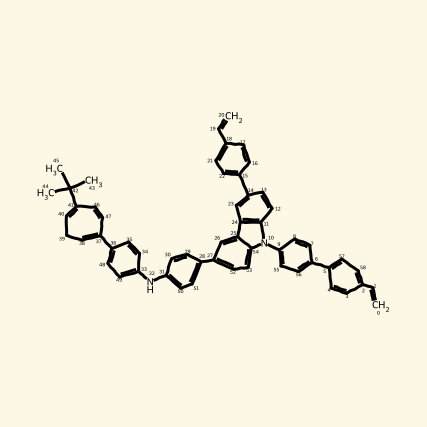 C=Cc1ccc(-c2ccc(-n3c4ccc(-c5ccc(C=C)cc5)cc4c4cc(-c5ccc(Nc6ccc(C7=CCC=C(C(C)(C)C)C=C7)cc6)cc5)ccc43)cc2)cc1